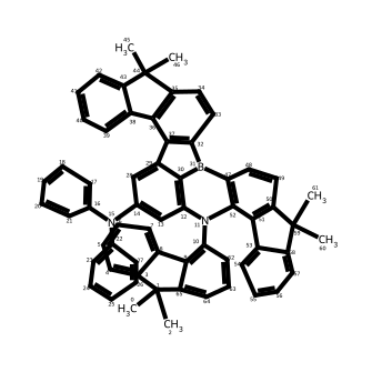 CC1(C)c2ccccc2-c2c(N3c4cc(N(c5ccccc5)c5ccccc5)cc5c4B(c4ccc6c(c4-5)-c4ccccc4C6(C)C)c4ccc5c(c43)-c3ccccc3C5(C)C)cccc21